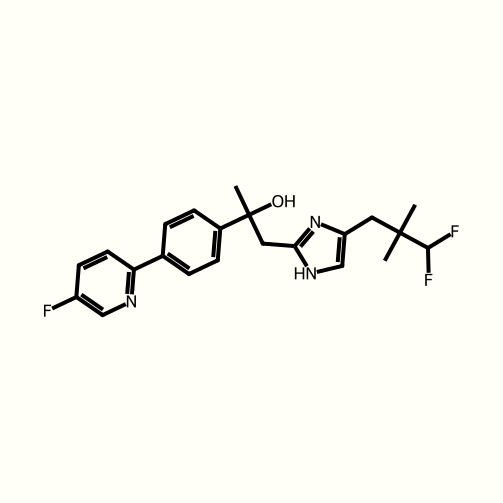 CC(O)(Cc1nc(CC(C)(C)C(F)F)c[nH]1)c1ccc(-c2ccc(F)cn2)cc1